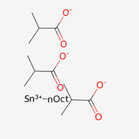 CC(C)C(=O)[O-].CC(C)C(=O)[O-].CC(C)C(=O)[O-].CCCCCCC[CH2][Sn+3]